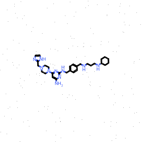 Nc1cc(N2CCN(Cc3ncc[nH]3)CC2)nc(NCc2ccc(CNCCCNC3CCCCC3)cc2)n1